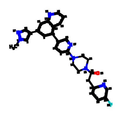 Cn1cc(-c2cc(-c3ccc(N4CCN(C(=O)Cc5ccc(F)cn5)CC4)nc3)c3cccnc3c2)cn1